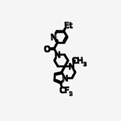 CCc1ccc(C(=O)N2CCC3(CC2)c2ccc(C(F)(F)F)n2CCN3C)nc1